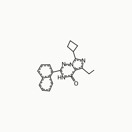 CCc1nc(C2CCC2)n2nc(-c3cccc4ccccc34)[nH]c(=O)c12